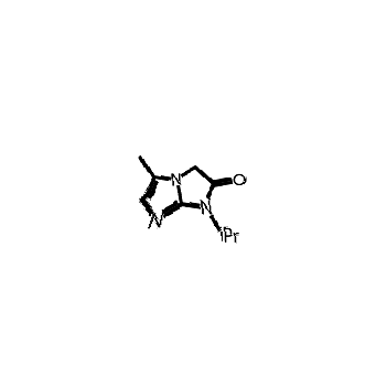 Cc1cnc2n1CC(=O)N2C(C)C